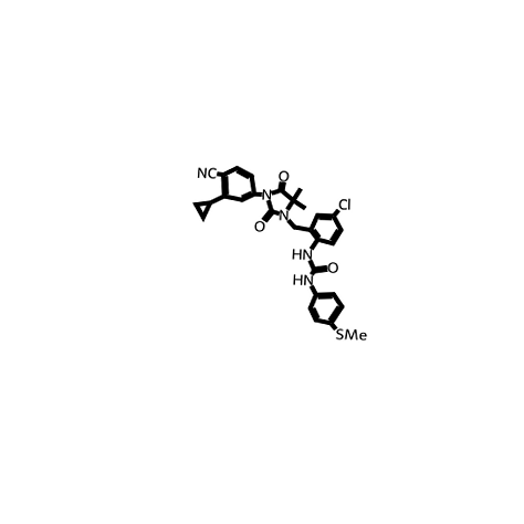 CSc1ccc(NC(=O)Nc2ccc(Cl)cc2CN2C(=O)N(c3ccc(C#N)c(C4CC4)c3)C(=O)C2(C)C)cc1